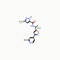 CCc1cc(-c2cc(C(C)NC(=O)c3cc(C(F)(F)F)nn3C)on2)ccn1.Cl